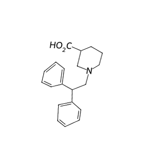 O=C(O)C1CCCN(CC(c2ccccc2)c2ccccc2)C1